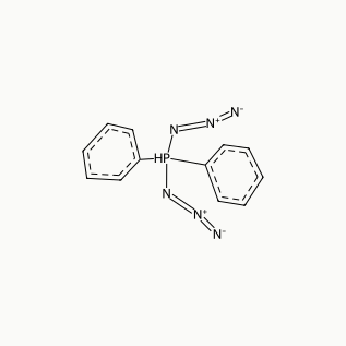 [N-]=[N+]=N[PH](N=[N+]=[N-])(c1ccccc1)c1ccccc1